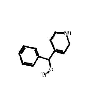 CC(C)OC(C1=CCNCC1)c1ccccc1